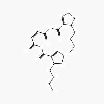 CCCCC1CCC=C1C(=O)OC(=O)/C=C\C(=O)OC(=O)C1=CCCC1CCCC